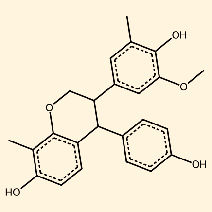 COc1cc(C2COc3c(ccc(O)c3C)C2c2ccc(O)cc2)cc(C)c1O